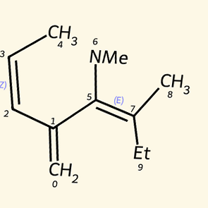 C=C(/C=C\C)/C(NC)=C(/C)CC